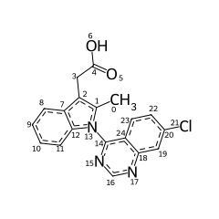 Cc1c(CC(=O)O)c2ccccc2n1-c1ncnc2cc(Cl)ccc12